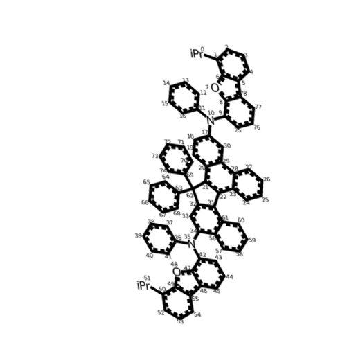 CC(C)c1cccc2c1oc1c(N(c3ccccc3)c3ccc4c5c(c6ccccc6c4c3)-c3c(cc(N(c4ccccc4)c4cccc6c4oc4c(C(C)C)cccc46)c4ccccc34)C5(c3ccccc3)c3ccccc3)cccc12